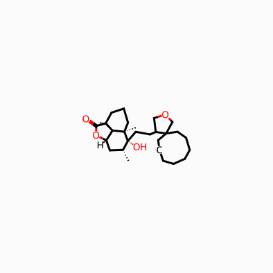 C[C@@H]1C[C@H]2OC(=O)[C@@]3(C)CCC[C@](C)(C23)[C@@]1(O)CCC1COCC12CCCCCCCC2